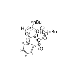 CCCCC(C)OOC(=O)c1ccccc1C(=O)OOC(C)CCCC